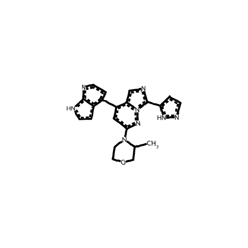 CC1COCCN1c1cc(-c2ccnc3[nH]ccc23)c2cnc(-c3ccn[nH]3)n2n1